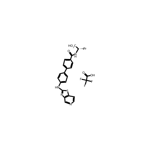 CC(C)[C@H](NC(=O)c1ccc(-c2ccc(Nc3nc4cnccc4s3)cc2)cc1)C(=O)O.O=C(O)C(F)(F)F